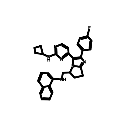 Fc1ccc(-c2nc3n(c2-c2ccnc(NC4CCC4)n2)C(CNc2cccc4ccccc24)CC3)cc1